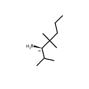 B[C@H](C(C)C)C(C)(C)CCC